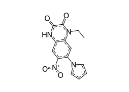 CCn1c(=O)c(=O)[nH]c2cc([N+](=O)[O-])c(-n3cccc3)cc21